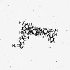 C=C(C)[C@@H]1CC[C@]2(NCCC3(O)CCC([S+](C)[O-])CC3)CC[C@]3(C)[C@H](CC[C@@H]4[C@@]5(C)CC=C(C6=CC[C@](COc7ncccc7C#N)(C(=O)O)CC6)C(C)(C)[C@@H]5CC[C@]43C)[C@@H]12